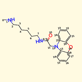 CNCCCCCCNC(=O)CN1c2ccccc2Oc2ccccc21